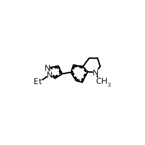 CCn1cc(-c2ccc3c(c2)CCCN3C)cn1